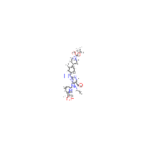 C=CCn1c(=O)c2cnc(Nc3ccc(C4CCN(C(=O)OC(C)(C)C)CC4)c(C)c3)nc2n1-c1cccc(C(C)(C)O)n1